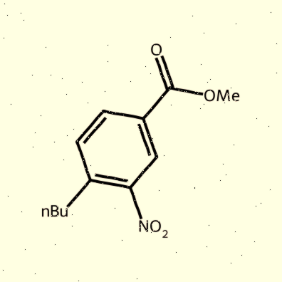 CCCCc1ccc(C(=O)OC)cc1[N+](=O)[O-]